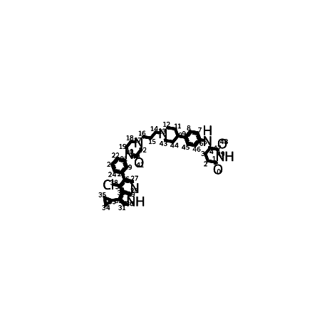 O=C1CCC(Nc2ccc(C3CCN(CCCN4CCN(c5cccc(-c6cnc7[nH]cc(C8CC8)c7c6Cl)c5)C(=O)C4)CC3)cc2)C(=O)N1